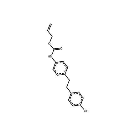 C=CCOC(=O)Nc1ccc(CCc2ccc(O)cc2)cc1